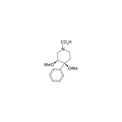 CO[C@H]1CN(C(=O)O)CC[C@]1(OC)c1ccccc1